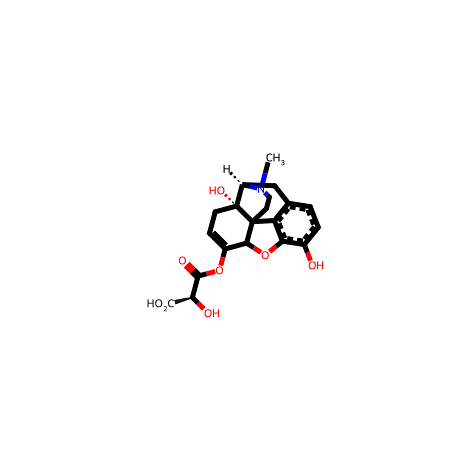 CN1CCC23c4c5ccc(O)c4OC2C(OC(=O)[C@@H](O)C(=O)O)=CC[C@@]3(O)[C@H]1C5